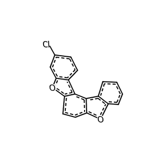 Clc1ccc2c(c1)oc1ccc3oc4ccccc4c3c12